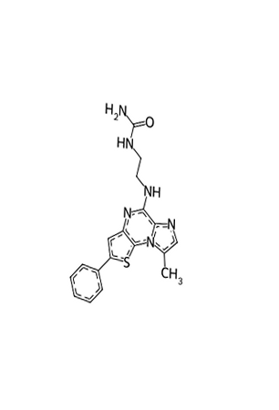 Cc1cnc2c(NCCNC(N)=O)nc3cc(-c4ccccc4)sc3n12